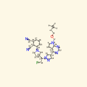 C[Si](C)(C)CCOCn1ccc2c(-c3cnn(C(CF)[C@H]4CCN(c5cccc(C#N)c5C#N)C4)c3)ncnc21